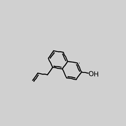 C=CCc1cccc2[c]c(O)ccc12